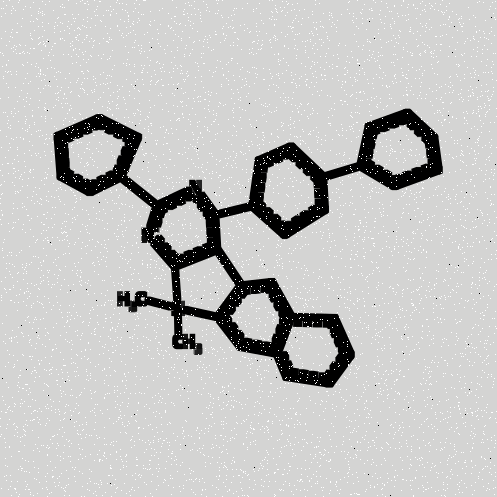 C[Si]1(C)c2cc3ccccc3cc2-c2c(-c3ccc(-c4ccccc4)cc3)nc(-c3ccccc3)nc21